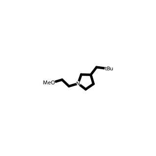 COCCN1CCC(CC(C)(C)C)C1